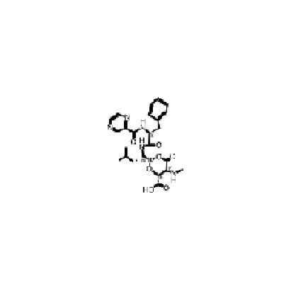 CN[C@@H]1C(=O)OB([C@H](CC(C)C)NC(=O)[C@H](Cc2ccccc2)NC(=O)c2cnccn2)O[C@H]1C(=O)O